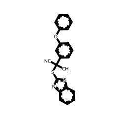 CC(C#N)(Sc1nc2ccccc2s1)c1cccc(Oc2ccccc2)c1